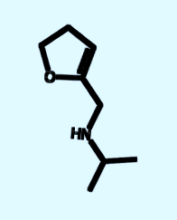 CC(C)NCC1=CCCO1